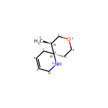 C[C@H]1COCC[C@]12CC=CCN2